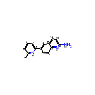 Cc1cccc(-c2ccc3nc(N)ccc3c2)n1